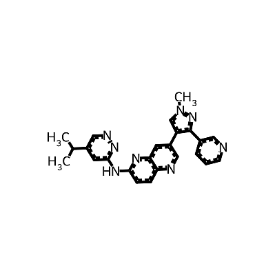 CC(C)c1cnnc(Nc2ccc3ncc(-c4cn(C)nc4-c4cccnc4)cc3n2)c1